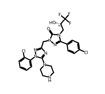 O=c1n(Cc2nc(N3CCNCC3)n(-c3ccccc3Cl)n2)nc(-c2ccc(Cl)cc2)n1C[C@H](O)C(F)(F)F